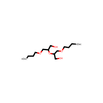 CCCCCCCCCCCCCOCC(CO)OC(CO)COCCCCCCCCCCCCC